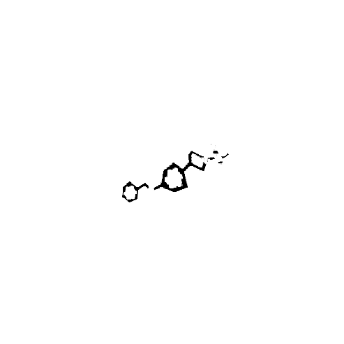 CS(=O)(=O)N1CC(c2ccc(OCc3ccccc3)cc2)C1